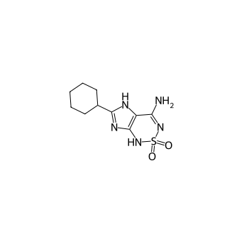 NC1=NS(=O)(=O)Nc2nc(C3CCCCC3)[nH]c21